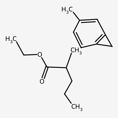 CCCC(C)C(=O)OCC.Cc1ccc2c(c1)C2